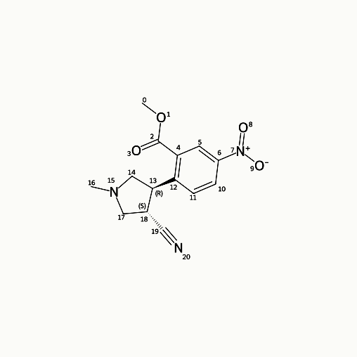 COC(=O)c1cc([N+](=O)[O-])ccc1[C@@H]1CN(C)C[C@H]1C#N